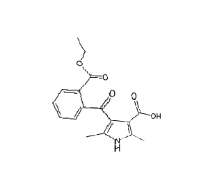 CCOC(=O)c1ccccc1C(=O)c1c(C)[nH]c(C)c1C(=O)O